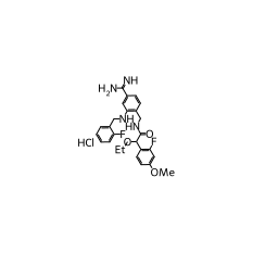 CCOC(C(=O)NCc1ccc(C(=N)N)cc1NCc1ccccc1F)c1ccc(OC)cc1F.Cl